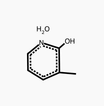 Cc1cccnc1O.O